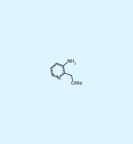 COCc1ncccc1N